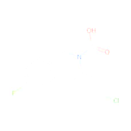 O=C(O)N1Cc2ccc(F)cc2CC1CCCl